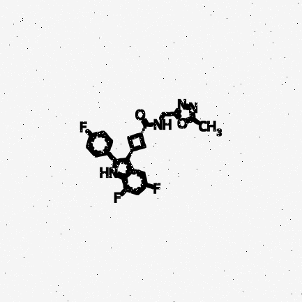 Cc1nnc(CNC(=O)[C@H]2C[C@H](c3c(-c4ccc(F)cc4)[nH]c4c(F)cc(F)cc43)C2)o1